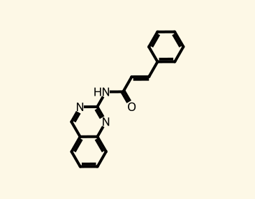 O=C(C=Cc1ccccc1)Nc1ncc2ccccc2n1